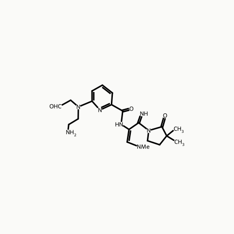 CN/C=C(/NC(=O)c1cccc(N(CC=O)CCN)n1)C(=N)N1CCC(C)(C)C1=O